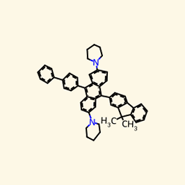 CC1(C)c2ccccc2-c2ccc(-c3c4ccc(N5CCCCC5)cc4c(-c4ccc(-c5ccccc5)cc4)c4ccc(N5CCCCC5)cc34)cc21